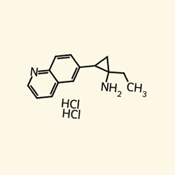 CCC1(N)CC1c1ccc2ncccc2c1.Cl.Cl